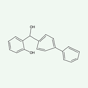 Oc1ccccc1C(O)c1ccc(-c2ccccc2)cc1